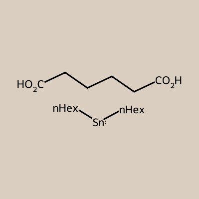 CCCCC[CH2][Sn][CH2]CCCCC.O=C(O)CCCCC(=O)O